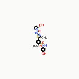 COc1ccc(-c2sc(NC(=O)N3CCC[C@H]3CO)nc2C)cc1S(=O)(=O)Nc1ccc(O)cc1